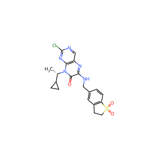 C[C@@H](C1CC1)n1c(=O)c(NCc2ccc3c(c2)CCS3(=O)=O)nc2cnc(Cl)nc21